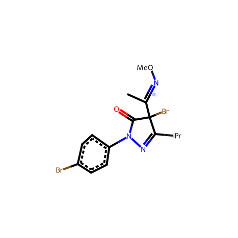 CO/N=C(\C)C1(Br)C(=O)N(c2ccc(Br)cc2)N=C1C(C)C